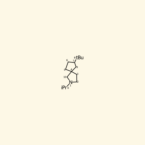 CC(C)N1CCC2(CCC(C(C)(C)C)C2)C1